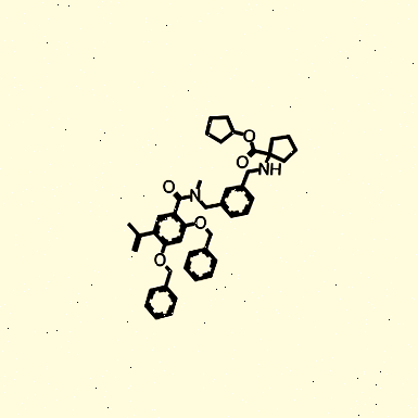 C=C(C)c1cc(C(=O)N(C)Cc2cccc(CNC3(C(=O)OC4CCCC4)CCCC3)c2)c(OCc2ccccc2)cc1OCc1ccccc1